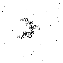 Cc1cc(C(=O)N2Cc3cnn(C)c3Nc3ccccc32)ccc1CCC(=O)N(CC1CCNCC1)C1CC1.Cl